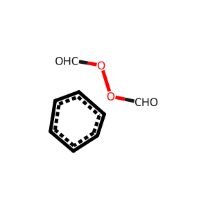 O=COOC=O.c1ccccc1